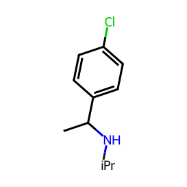 CC(C)NC(C)c1ccc(Cl)cc1